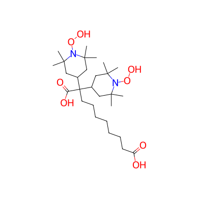 CC1(C)CC(C(CCCCCCCC(=O)O)(C(=O)O)C2CC(C)(C)N(OO)C(C)(C)C2)CC(C)(C)N1OO